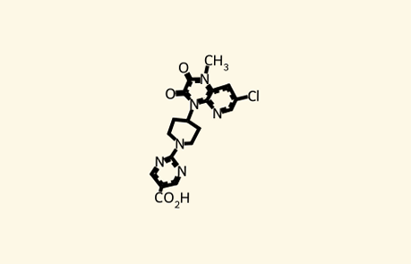 Cn1c(=O)c(=O)n(C2CCN(c3ncc(C(=O)O)cn3)CC2)c2ncc(Cl)cc21